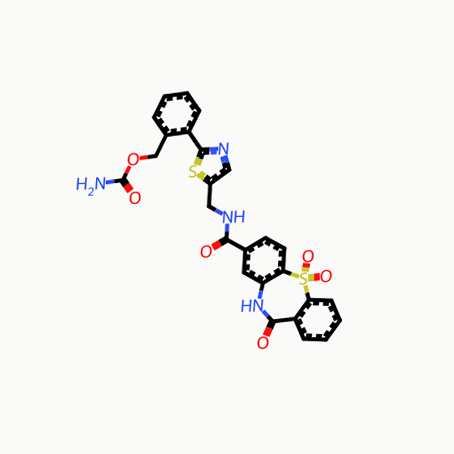 NC(=O)OCc1ccccc1-c1ncc(CNC(=O)c2ccc3c(c2)NC(=O)c2ccccc2S3(=O)=O)s1